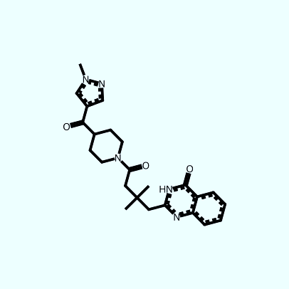 Cn1cc(C(=O)C2CCN(C(=O)CC(C)(C)Cc3nc4ccccc4c(=O)[nH]3)CC2)cn1